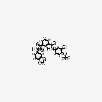 O=C(Nc1ccc(OC(F)F)c(Cl)c1)c1cccc(S(=O)(=O)Nc2ccc3c(c2)OCO3)c1